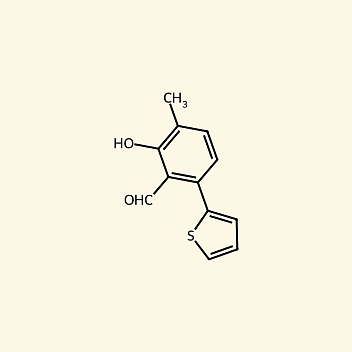 Cc1ccc(-c2cccs2)c(C=O)c1O